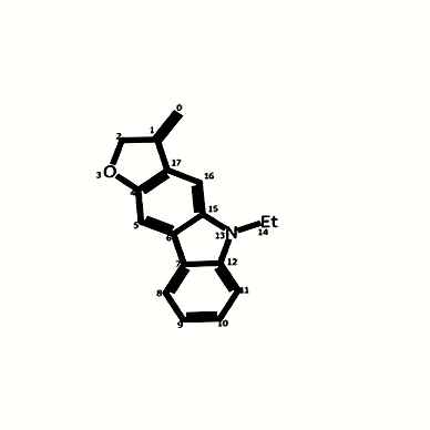 C=C1COc2cc3c4ccccc4n(CC)c3cc21